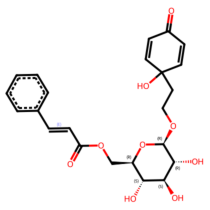 O=C1C=CC(O)(CCO[C@@H]2O[C@H](COC(=O)/C=C/c3ccccc3)[C@@H](O)[C@H](O)[C@H]2O)C=C1